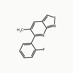 Cc1cc2csnc2nc1-c1ccccc1F